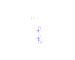 CCON=NN=NN